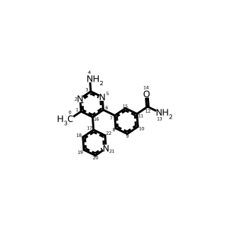 Cc1nc(N)nc(-c2cccc(C(N)=O)c2)c1-c1cccnc1